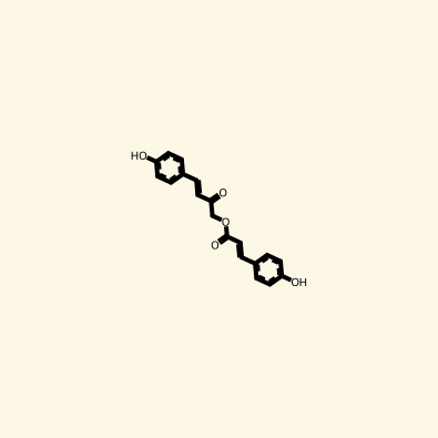 O=C(C=Cc1ccc(O)cc1)COC(=O)C=Cc1ccc(O)cc1